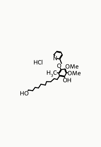 COc1c(O)c(CCCCCCCCCCO)c(C)c(OCc2ccccn2)c1OC.Cl